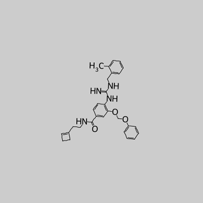 Cc1ccccc1CNC(=N)Nc1ccc(C(=O)NCCC2=CCC2)cc1OCOc1ccccc1